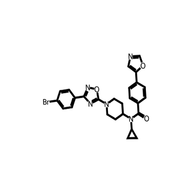 O=C(c1ccc(-c2cnco2)cc1)N(C1CC1)C1CCN(c2nc(-c3ccc(Br)cc3)no2)CC1